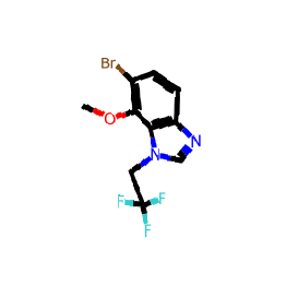 COc1c(Br)ccc2ncn(CC(F)(F)F)c12